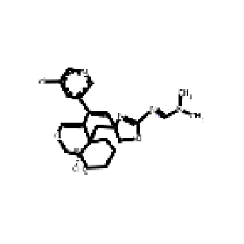 CN(C)/C=N/C1=NC2(C=C(c3cncc(Cl)c3)C3=COC[C@]4(C)CCCCC34C2)CO1